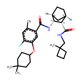 CC1(C)CCC(Oc2cc(C(=O)N[C@@H]3[C@H]4CC[C@H](C4)[C@@H]3C(=O)NCC3(C)CCC3)c(C#N)cc2F)CC1